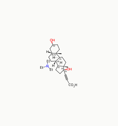 CCN(CC)CC.C[C@]12CC[C@H](O)C[C@H]1CC[C@@H]1[C@@H]2CC[C@@]2(C)[C@H]1CC[C@@]2(O)C#CC(=O)O